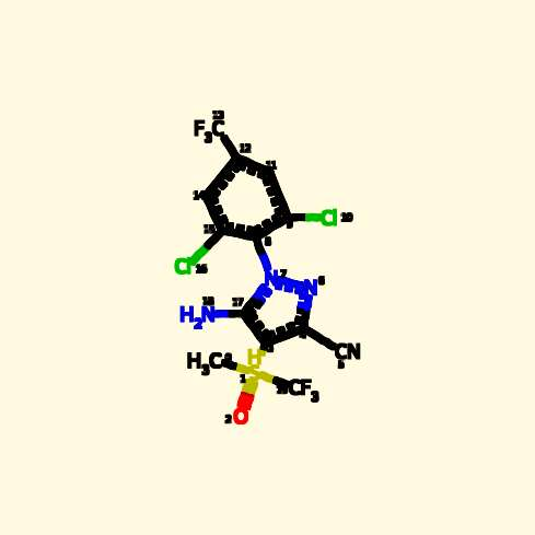 C[SH](=O)(c1c(C#N)nn(-c2c(Cl)cc(C(F)(F)F)cc2Cl)c1N)C(F)(F)F